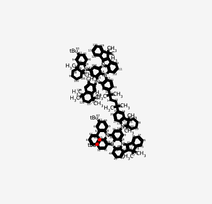 Cc1cc2c(cc1N1c3cc(C(C)(C)CCC(C)(C)c4ccc5c(c4)C4(C)CCCCC4(C)N5c4cc5c6c(c4)-n4c7c(c8cccc(c84)B6c4ccc(C(C)(C)C)cc4N5c4ccc(C(C)(C)C)cc4-c4ccccc4)C(C)(C)c4ccccc4-7)ccc3B3c4c1cc(N1c5ccc(C(C)(C)C)cc5C5(C)CCCCC15C)cc4-n1c4c(c5cccc3c51)C(C)(C)c1ccccc1-4)C(C)(C)CCC2(C)C